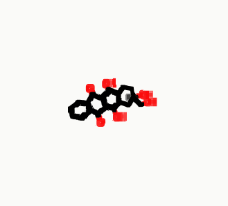 O=C1c2ccccc2C(=O)c2c(O)c3c(c(O)c21)CC[C@](O)(CO)C3